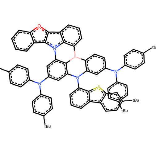 CC(C)(C)c1ccc(N(c2ccc(C(C)(C)C)cc2)c2ccc3c(c2)N(c2cccc4c2sc2cc(C(C)(C)C)ccc24)c2cc(N(c4ccc(C(C)(C)C)cc4)c4ccc(C(C)(C)C)cc4)cc4c2B3c2cccc3c5oc6ccccc6c5n-4c23)cc1